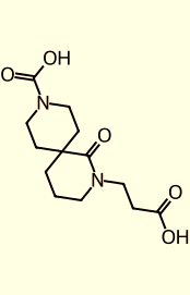 O=C(O)CCN1CCCC2(CCN(C(=O)O)CC2)C1=O